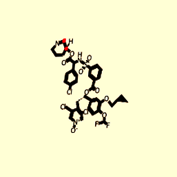 O=C(O[C@@H](Cc1c(Cl)c[n+]([O-])cc1Cl)c1ccc(OC(F)F)c(OCC2CC2)c1)c1cccc(S(=O)(=O)NC(C(=O)O[C@H]2CN3CCC2CC3)c2ccc(Cl)cc2)c1